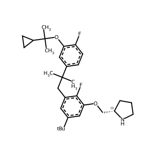 CC(C)(C)c1cc(CC(C)(C)c2ccc(F)c(OC(C)(C)C3CC3)c2)c(F)c(OC[C@@H]2CCCN2)c1